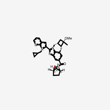 CO[C@]1(C)C[C@H](Cn2c(-c3cc4cccnc4n3CC3CC3)nc3cc(C(=O)N4C[C@H]5CC[C@@H]4[C@@H]5N)cc(F)c32)C1